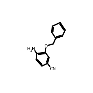 N#Cc1ccc(N)c(OCc2ccccc2)c1